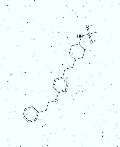 CS(=O)(=O)NC1CCN(CCc2ccc(OCCc3ccccc3)nc2)CC1